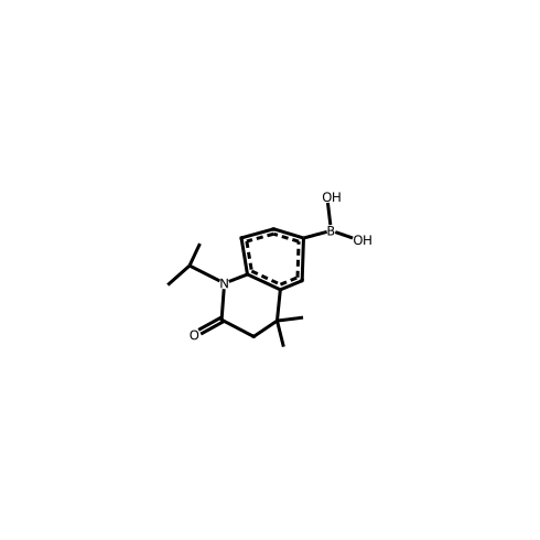 CC(C)N1C(=O)CC(C)(C)c2cc(B(O)O)ccc21